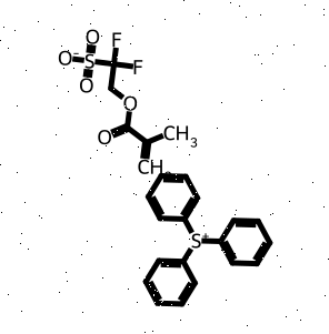 C=C(C)C(=O)OCC(F)(F)S(=O)(=O)[O-].c1ccc([S+](c2ccccc2)c2ccccc2)cc1